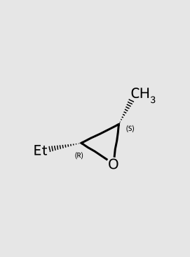 CC[C@H]1O[C@H]1C